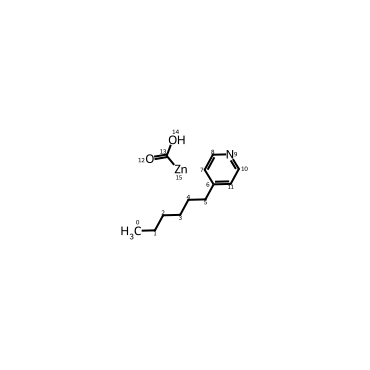 CCCCCCc1ccncc1.O=[C](O)[Zn]